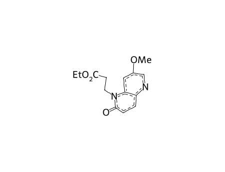 CCOC(=O)CCn1c(=O)ccc2ncc(OC)cc21